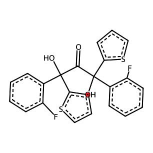 O=C(C(O)(c1cccs1)c1ccccc1F)C(O)(c1cccs1)c1ccccc1F